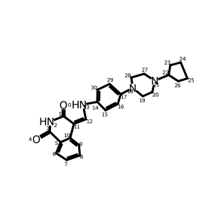 O=C1NC(=O)c2ccccc2C1=CNc1ccc(N2CCN(C3CCCC3)CC2)cc1